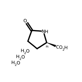 O.O.O.O=C1CC[C@H](C(=O)O)N1